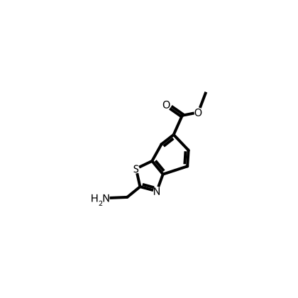 COC(=O)c1ccc2nc(CN)sc2c1